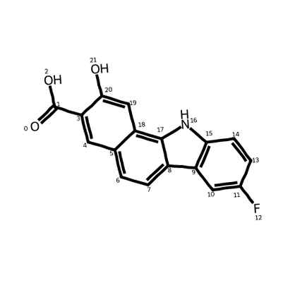 O=C(O)c1cc2ccc3c4cc(F)ccc4[nH]c3c2cc1O